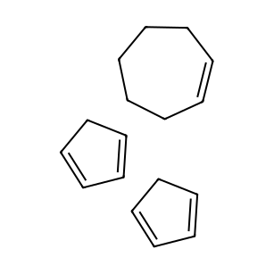 C1=CCC=C1.C1=CCC=C1.C1=CCCCCC1